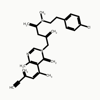 C#CC(=C)/C=C(/C)C1=C(C)N=CN(CC(=C)CC(=C)N(C)CCc2ccc(Cl)cc2)C1=C